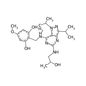 COc1cc(O)c(CNc2nc(NCC(C)O)nc3c(C(C)C)nn(C(C)C)c23)c(O)c1